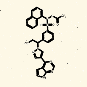 N#CCC(c1cccc(S(=O)(=O)N(OC(=O)C(F)(F)F)c2cccc3ccccc23)c1)n1cc(-c2ncnc3[nH]ccc23)cn1